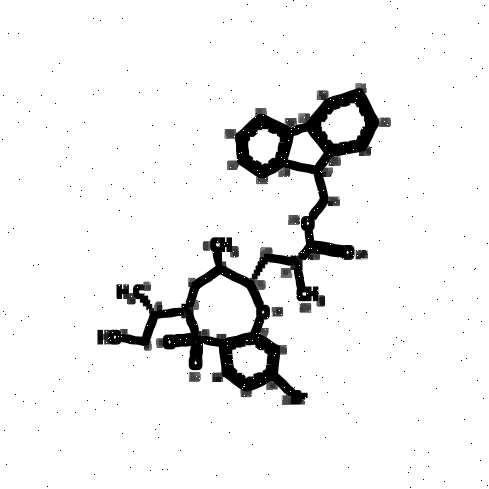 C[C@@H]1CN([C@@H](C)CO)S(=O)(=O)c2ccc(Br)cc2O[C@H]1CN(C)C(=O)OCC1c2ccccc2-c2ccccc21